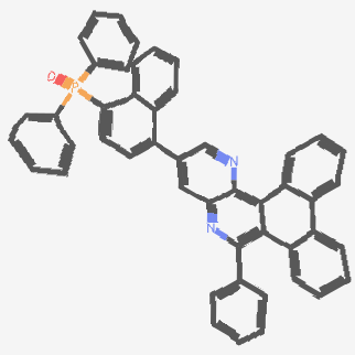 O=P(c1ccccc1)(c1ccccc1)c1ccc(-c2cnc3c(c2)nc(-c2ccccc2)c2c4ccccc4c4ccccc4c32)c2ccccc12